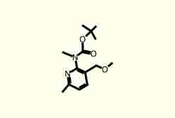 COCc1ccc(C)nc1N(C)C(=O)OC(C)(C)C